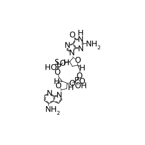 Nc1nc2c(ncn2[C@@H]2O[C@@H]3COP(=O)(O)O[C@H]4C[C@H](n5ccc6c(N)ccnc65)O[C@@H]4COP(O)(=S)O[C@@H]2C3)c(=O)[nH]1